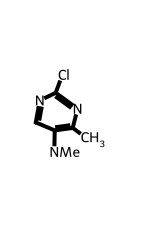 CNc1cnc(Cl)nc1C